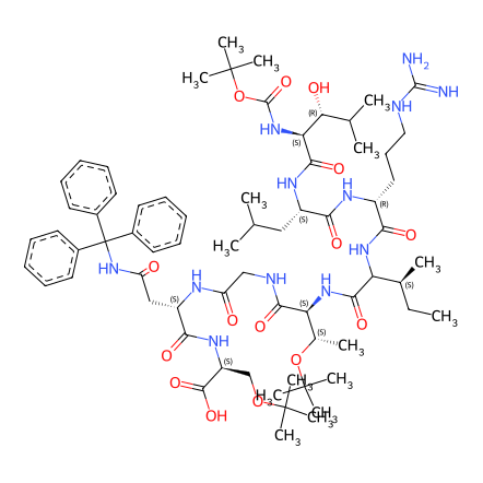 CC[C@H](C)C(NC(=O)[C@@H](CCCNC(=N)N)NC(=O)[C@H](CC(C)C)NC(=O)[C@@H](NC(=O)OC(C)(C)C)[C@H](O)C(C)C)C(=O)N[C@H](C(=O)NCC(=O)N[C@@H](CC(=O)NC(c1ccccc1)(c1ccccc1)c1ccccc1)C(=O)N[C@@H](COC(C)(C)C)C(=O)O)[C@H](C)OC(C)(C)C